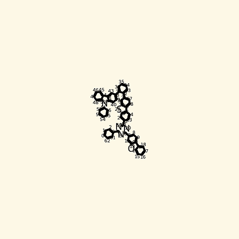 c1ccc(-c2nc(-c3ccc4c(c3)oc3ccccc34)nc(-c3ccc4c(c3)sc3cc(-c5ccccc5-c5ccc6c(c5)c5ccccc5n6-c5ccccc5)ccc34)n2)cc1